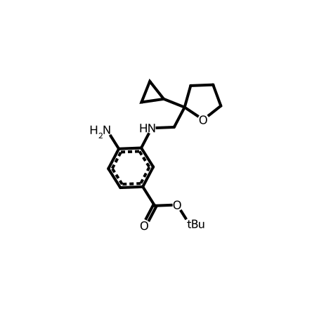 CC(C)(C)OC(=O)c1ccc(N)c(NCC2(C3CC3)CCCO2)c1